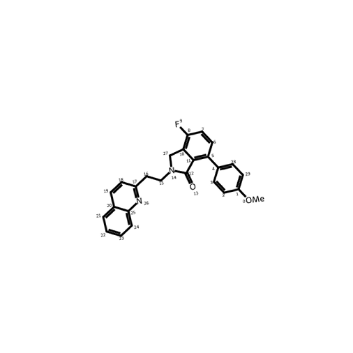 COc1ccc(-c2ccc(F)c3c2C(=O)N(CCc2ccc4ccccc4n2)C3)cc1